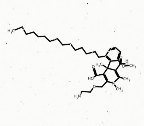 CCCCCCCCCCCCCCCc1cccc(OC)c1C1(C)C(C(=O)O)=C(C)N(C)C(COCCN)=C1C(=O)O